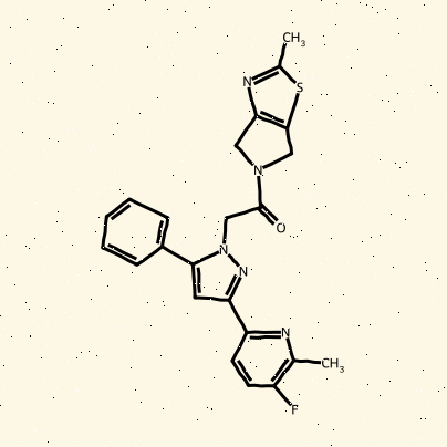 Cc1nc2c(s1)CN(C(=O)Cn1nc(-c3ccc(F)c(C)n3)cc1-c1ccccc1)C2